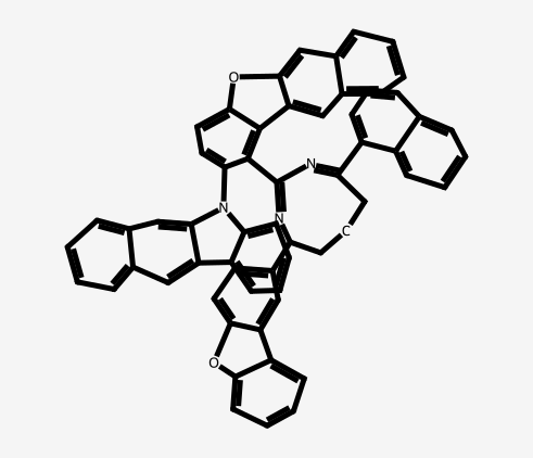 c1ccc2cc3c(cc2c1)oc1ccc(-n2c4ccccc4c4cc5ccccc5cc42)c(C2=N/C(c4ccc5oc6ccccc6c5c4)CCC/C(c4cccc5ccccc45)=N\2)c13